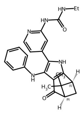 CCNC(=O)Nc1cc(-c2[nH]c3c(c2Nc2ccccc2)C(=O)[C@@H]2C[C@H]3C2(C)C)ccn1